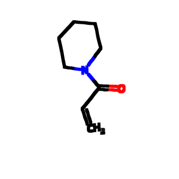 C=CC(=O)N1CCCCC1